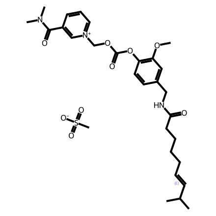 COc1cc(CNC(=O)CCCC/C=C/C(C)C)ccc1OC(=O)OC[n+]1cccc(C(=O)N(C)C)c1.CS(=O)(=O)[O-]